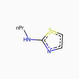 CCCNc1nccs1